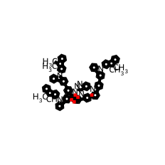 CC1(C)c2ccccc2-c2ccc(-n3c4ccccc4c4cc(-c5ccc6c7ccccc7n(-c7ccc8nnc(-n9c%10ccccc%10c%10ccc(-c%11ccc%12c(c%11)c%11ccccc%11n%12-c%11ccc%12c(c%11)C(C)(C)c%11ccccc%11-%12)cc%109)c(-n9c%10ccccc%10c%10ccc(-c%11ccc%12c(c%11)c%11ccccc%11n%12-c%11ccc%12c(c%11)C(C)(C)c%11ccccc%11-%12)cc%109)c8c7)c6c5)ccc43)cc21